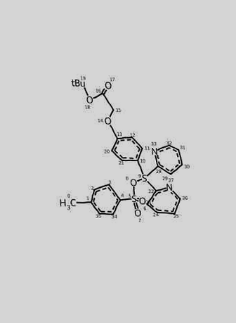 Cc1ccc(S(=O)(=O)OS(c2ccc(OCC(=O)OC(C)(C)C)cc2)(c2ccccn2)c2ccccn2)cc1